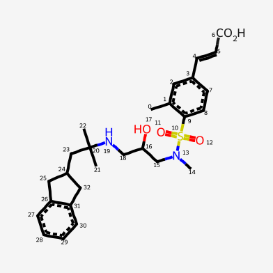 Cc1cc(/C=C/C(=O)O)ccc1S(=O)(=O)N(C)CC(O)CNC(C)(C)CC1Cc2ccccc2C1